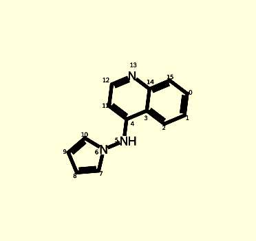 c1ccc2c(Nn3cccc3)ccnc2c1